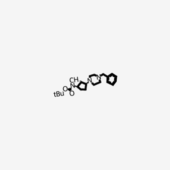 CN(C(=O)OC(C)(C)C)[C@@H]1CC[C@H](N2CCN(Cc3ccccc3)CC2)C1